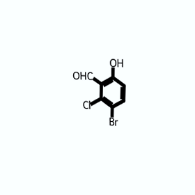 O=Cc1c(O)ccc(Br)c1Cl